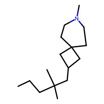 CCCC(C)(C)CC1CC2(CCN(C)CC2)C1